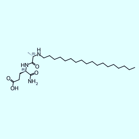 CCCCCCCCCCCCCCCCCCN[C@@H](C)C(=O)N[C@H](CCC(=O)O)C(N)=O